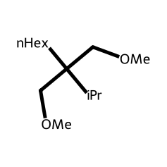 CCCCCCC(COC)(COC)C(C)C